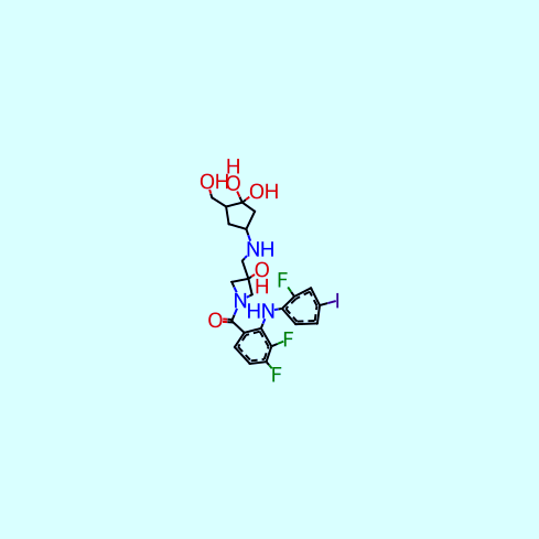 O=C(c1ccc(F)c(F)c1Nc1ccc(I)cc1F)N1CC(O)(CNC2CC(CO)C(O)(O)C2)C1